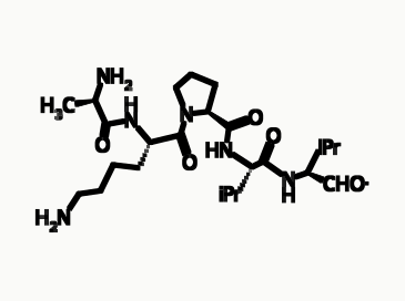 CC(C)[C@H](NC(=O)[C@@H]1CCCN1C(=O)[C@H](CCCCN)NC(=O)[C@@H](C)N)C(=O)N[C@H]([C]=O)C(C)C